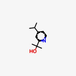 CC(C)c1ccnc(C(C)(C)O)c1